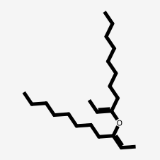 CC=C(CCCCCCCC)OC(=CC)CCCCCCCC